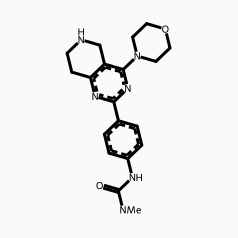 CNC(=O)Nc1ccc(-c2nc3c(c(N4CCOCC4)n2)CNCC3)cc1